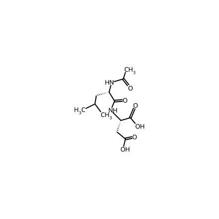 CC(=O)N[C@@H](CC(C)C)C(=O)N[C@@H](CC(=O)O)C(=O)O